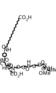 COC(CNC(=O)N(C)C(=O)COCCOCCNC(=O)COCCOCCNC(=O)[C@H](CCC(=O)O)NC(=O)CC[C@H](NC(=O)[C@H]1CC[C@H](CNC(=O)CCCCCCCCCCCCCCCCCCC(=O)O)CC1)C(=O)O)OC